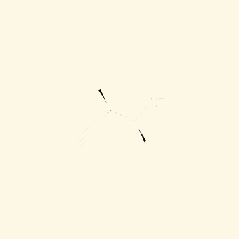 C#C[C@@H](C)[C@H](C)O